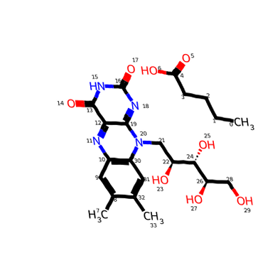 CCCCC(=O)O.Cc1cc2nc3c(=O)[nH]c(=O)nc-3n(C[C@H](O)[C@H](O)[C@H](O)CO)c2cc1C